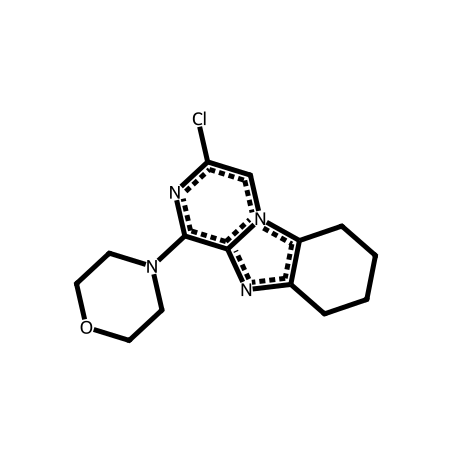 Clc1cn2c3c(nc2c(N2CCOCC2)n1)CCCC3